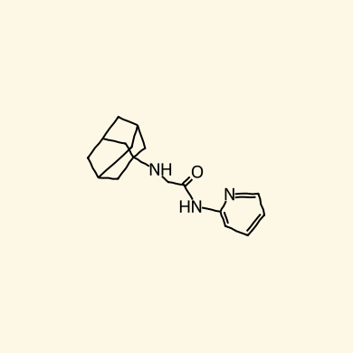 O=C(CNC12CC3CC(CC(C3)C1)C2)Nc1ccccn1